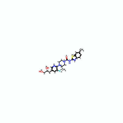 Cc1ccc2nc(NC(=O)N3CCN(c4ncc(C[C@@H](O)CO)cc4F)[C@@H](C)C3)sc2c1